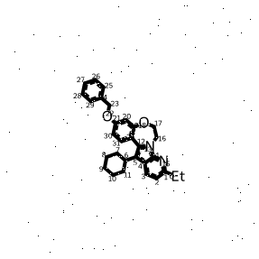 CCc1ccc2c(C3CCCCC3)c3n(c2n1)CCOc1cc(OCc2ccccc2)ccc1-3